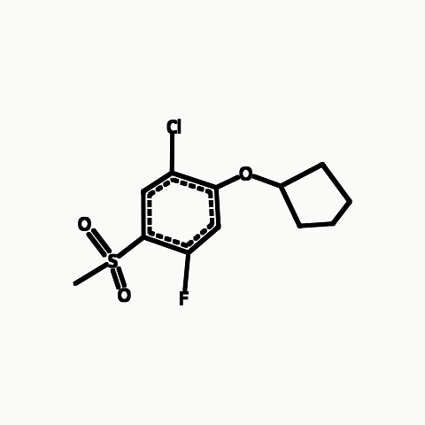 CS(=O)(=O)c1cc(Cl)c(OC2CCCC2)cc1F